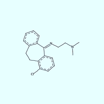 CN(C)CCN=C1c2ccccc2CCc2c(Cl)cccc21